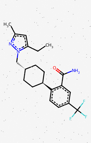 CCc1cc(C)nn1C[C@H]1CC[C@H](c2ccc(C(F)(F)F)cc2C(N)=O)CC1